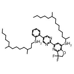 CCCCCC(C)CCCCCCC(C)[SiH2]c1cc(-c2ncc(-c3ccccc3[SiH2]CCC(C)CCCCC(C)CCCCC)cn2)nc2c1OCC2(F)F